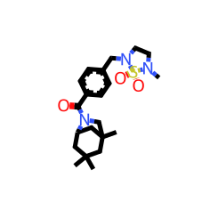 CN1CCN(Cc2ccc(C(=O)N3CC4(C)CC3CC(C)(C)C4)cc2)S1(=O)=O